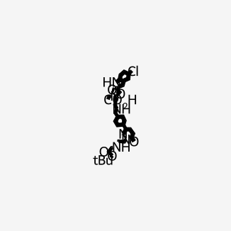 CC(C)(C)OC(=O)CNCCn1nc(-c2ccc(CNCCN(CC(=O)O)S(=O)(=O)c3cc4cc(Cl)ccc4[nH]3)cc2)ccc1=O